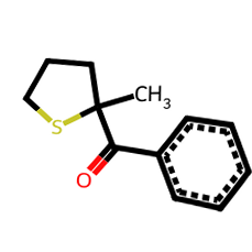 CC1(C(=O)c2ccccc2)CCCS1